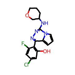 Oc1cc(Cl)cc(F)c1-c1nnc(NC2CCCOC2)n2cccc12